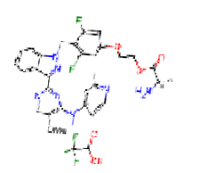 COc1cnc(-c2nn(Cc3c(F)cc(OCCOC(=O)[C@H](C)N)cc3F)c3ccccc23)nc1Nc1ccnc(C)c1.O=C(O)C(F)(F)F